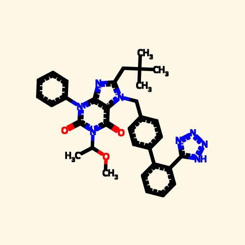 COC(C)n1c(=O)c2c(nc(CC(C)(C)C)n2Cc2ccc(-c3ccccc3-c3nnn[nH]3)cc2)n(-c2ccccc2)c1=O